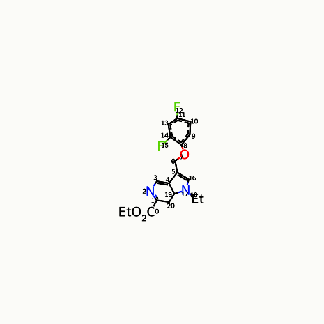 CCOC(=O)C1=NC=C2C(COc3ccc(F)cc3F)=CN(CC)C2C1